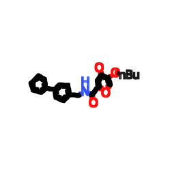 CCCCOc1coc(C(=O)NCc2ccc(-c3ccccc3)cc2)cc1=O